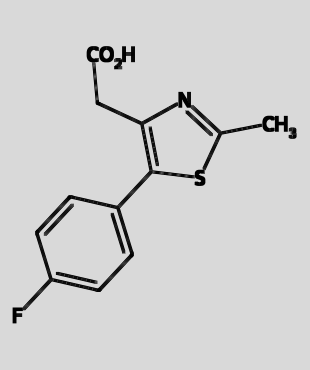 Cc1nc(CC(=O)O)c(-c2ccc(F)cc2)s1